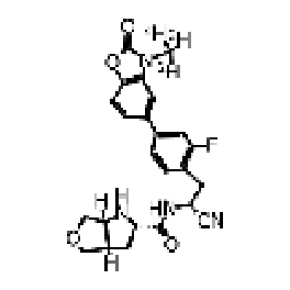 [2H]C([2H])([2H])n1c(=O)oc2ccc(-c3ccc(C[C@@H](C#N)NC(=O)[C@@H]4C[C@@H]5COC[C@@H]5N4)c(F)c3)cc21